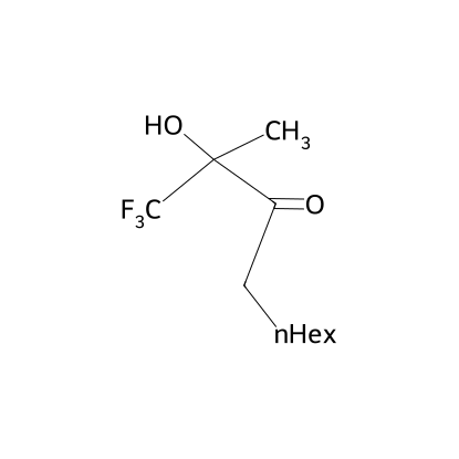 CCCCCCCC(=O)C(C)(O)C(F)(F)F